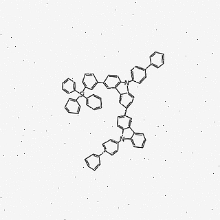 c1ccc(-c2ccc(-n3c4ccccc4c4cc(-c5ccc6c(c5)c5cc(-c7cccc([Si](c8ccccc8)(c8ccccc8)c8ccccc8)c7)ccc5n6-c5ccc(-c6ccccc6)cc5)ccc43)cc2)cc1